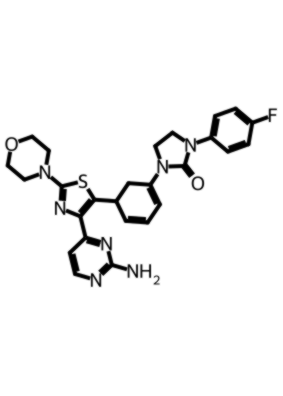 Nc1nccc(-c2nc(N3CCOCC3)sc2C2C=CC=C(N3CCN(c4ccc(F)cc4)C3=O)C2)n1